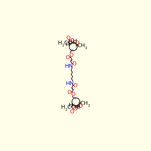 C=C1C(=O)O[C@H]2[C@H]1CC/C(COC(=O)/C=C/C(=O)NCCCCCCCNC(=O)/C=C/C(=O)OC/C1=C/CC[C@@]3(C)O[C@H]3[C@H]3OC(=O)C(=C)[C@@H]3CC1)=C\CC[C@@]1(C)O[C@@H]21